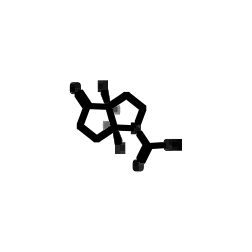 O=C1CC[C@@H]2[C@H]1CCN2C(=O)O